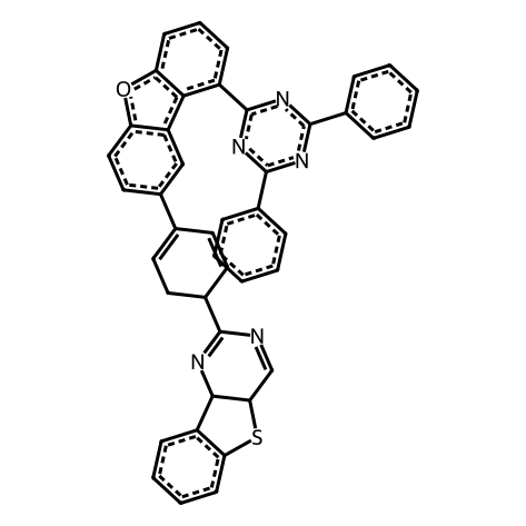 C1=CC(C2=NC3c4ccccc4SC3C=N2)CC=C1c1ccc2oc3cccc(-c4nc(-c5ccccc5)nc(-c5ccccc5)n4)c3c2c1